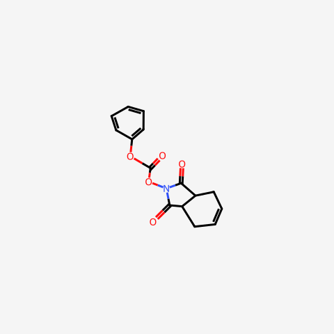 O=C(Oc1ccccc1)ON1C(=O)C2CC=CCC2C1=O